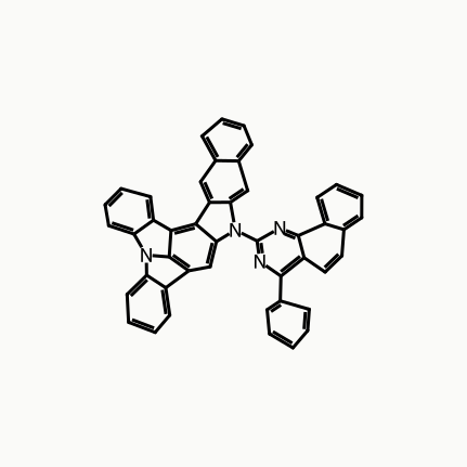 c1ccc(-c2nc(-n3c4cc5ccccc5cc4c4c5c6ccccc6n6c7ccccc7c(cc43)c56)nc3c2ccc2ccccc23)cc1